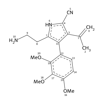 C=C(C)c1c(C#N)[nH]c(CCN)c1-c1ccc(OC)c(OC)c1OC